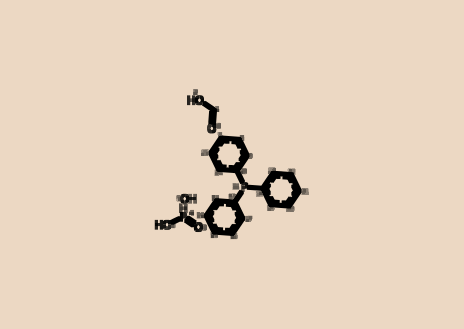 O=CO.O=[PH](O)O.c1ccc(P(c2ccccc2)c2ccccc2)cc1